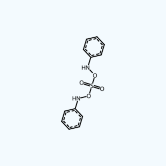 O=S(=O)(ONc1ccccc1)ONc1ccccc1